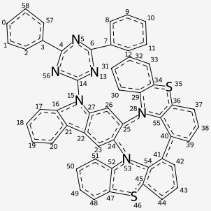 c1ccc(-c2nc(-c3ccccc3)nc(-n3c4ccccc4c4cc5c(cc43)n3c4ccccc4sc4cccc(c6cccc7sc8ccccc8n5c76)c43)n2)cc1